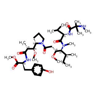 CC[C@H](C)[C@@H]([C@@H](CC(=O)N1CCC[C@H]1[C@H](OC)[C@@H](C)C(=O)N[C@@H](Cc1ccc(O)cc1)C(=O)OC)OC)N(C)C(=O)[C@@H](NC(=O)C(C)(C)NC)C(C)C